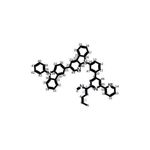 C=N/C(=C\C=C/C)c1cc(-c2cccc(-n3c4ccccc4c4cc(-c5ccc6c(c5)c5ccccc5n6-c5ccccc5)cnc43)c2)cc(-c2ccccn2)n1